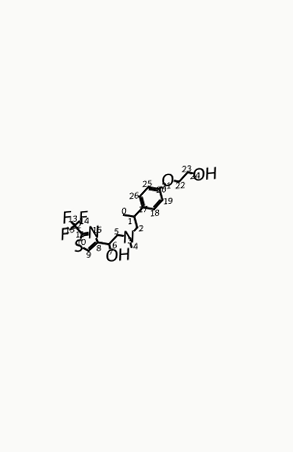 CC(CN(C)CC(O)c1csc(C(F)(F)F)n1)c1ccc(OCCO)cc1